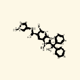 CCn1cc(NC(=O)c2cc3c(nc2F)nc(C(O)(c2ccccc2)c2ccccc2)n3CC)cn1